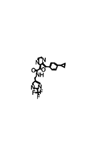 O=C(NCc1cnc(C(F)(F)F)nc1)c1oc(-c2ccc(C3CC3)cc2)c2nccnc12